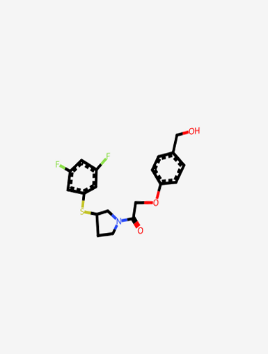 O=C(COc1ccc(CO)cc1)N1CCC(Sc2cc(F)cc(F)c2)C1